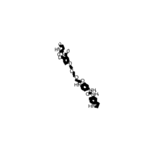 O=C1CCC(N2C(=O)c3ccc(OCCOCCOCC(=O)Nc4ccc(NC(=O)Nc5ccc6[nH]ccc6c5)cc4)cc3C2=O)C(=O)N1